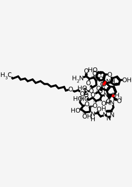 CCCCCCCCCCCCCCCCOCCOP(=O)(O)O[C@@H]1OC(C(N)=O)[C@@H](O)[C@H](OC(N)=O)C1O[C@@H]1OC(CO)[C@@H](O[C@@H]2OC(CO)[C@H](O)[C@H](O)C2NC(=O)Cn2cc(CNC(=O)c3ccc4c(c3)C(=O)OC43c4ccc(O)cc4Oc4cc(O)ccc43)nn2)[C@H](O)C1NC(C)=O